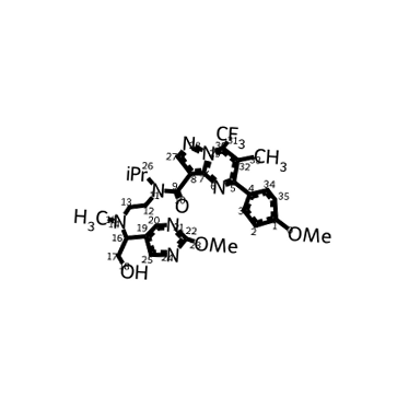 COc1ccc(-c2nc3c(C(=O)N(CCN(C)C(CO)c4cnc(OC)nc4)C(C)C)cnn3c(C(F)(F)F)c2C)cc1